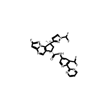 C[C@]1(c2ccn(C(F)F)n2)C[C@H](C(=O)Nc2cnc(-c3ncccn3)c(C(F)F)c2)c2cnc3cc(F)nn3c21